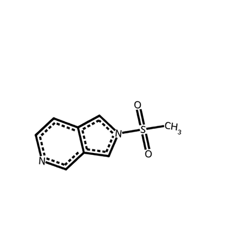 CS(=O)(=O)n1cc2ccncc2c1